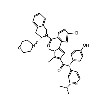 Cc1c(C(=O)N(c2ccc(O)cc2)c2ccnc(N(C)C)c2)cc(-c2cc(Cl)ccc2C(=O)N2Cc3ccccc3C[C@H]2CN2CCOCC2)n1C